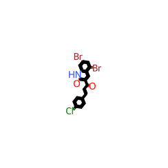 O=C(C=Cc1ccc(Cl)cc1)c1cc2c(Br)cc(Br)cc2[nH]c1=O